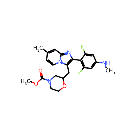 CNc1cc(F)c(-c2nc3cc(C)ccn3c2CC2CN(C(=O)OC)CCO2)c(F)c1